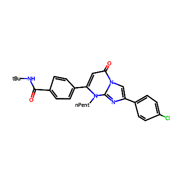 CCCCCn1c(-c2ccc(C(=O)NC(C)(C)C)cc2)cc(=O)n2cc(-c3ccc(Cl)cc3)nc12